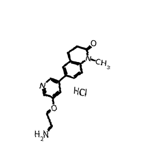 CN1C(=O)CCc2cc(-c3cncc(OCCN)c3)ccc21.Cl